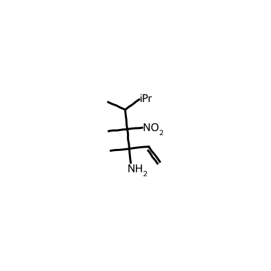 C=CC(C)(N)C(C)(C(C)C(C)C)[N+](=O)[O-]